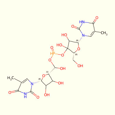 Cc1cn([C@@H]2O[C@H](C(O)O[PH](=O)OC3(O)C(O)[C@H](n4cc(C)c(=O)[nH]c4=O)O[C@@H]3CO)C(O)C2O)c(=O)[nH]c1=O